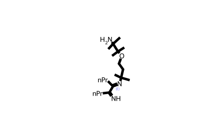 CCCC(=N)/C(CCC)=N/C(C)(C)CCOC(C)(C)C(C)(C)N